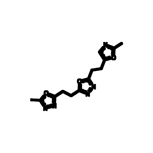 Cc1ncc(CCc2nnc(CCc3nnc(C)o3)o2)o1